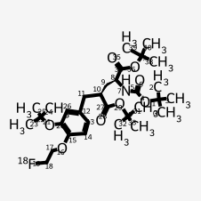 CC(C)(C)OC(=O)N[C@@H](C[C@H](Cc1ccc(OCC[18F])c(OC(C)(C)C)c1)C(=O)OC(C)(C)C)C(=O)OC(C)(C)C